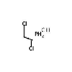 Cl.ClCCCl.P